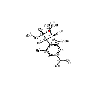 CCCCOP(=O)(OCCCC)C(Br)(c1ccc(C(Br)Br)cc1Br)P(=O)(OCCCC)OCCCC